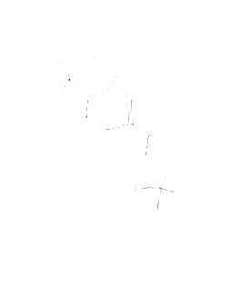 [2H]C([2H])([2H])OC[C@@H](O)c1ccc(C(F)(F)F)cc1